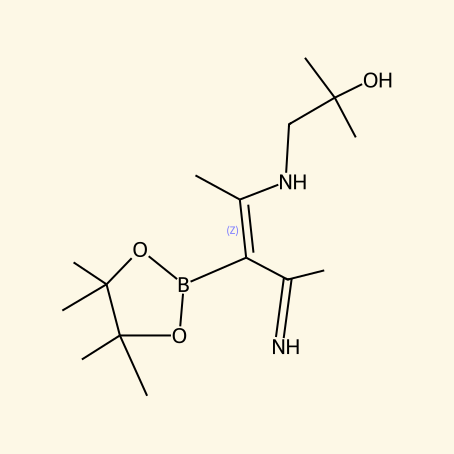 CC(=N)/C(B1OC(C)(C)C(C)(C)O1)=C(/C)NCC(C)(C)O